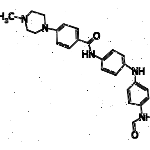 CN1CCN(c2ccc(C(=O)Nc3ccc(Nc4ccc(NC=O)cc4)cc3)cc2)CC1